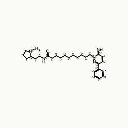 CN1CCCC1CCNC(=O)CCCCCCCCCCn1nc(-c2ccccc2)ccc1=N